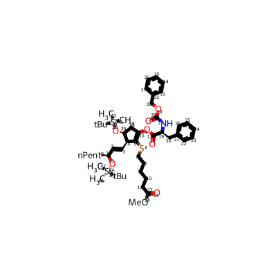 CCCCC[C@@H](/C=C/[C@@H]1C(SCCCCCC(=O)OC)=C(OC(=O)[C@H](Cc2ccccc2)NC(=O)OCc2ccccc2)C[C@H]1O[Si](C)(C)C(C)(C)C)O[Si](C)(C)C(C)(C)C